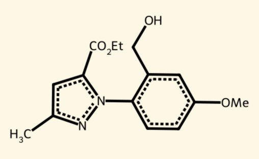 CCOC(=O)c1cc(C)nn1-c1ccc(OC)cc1CO